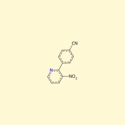 N#Cc1ccc(-c2ncccc2[N+](=O)[O-])cc1